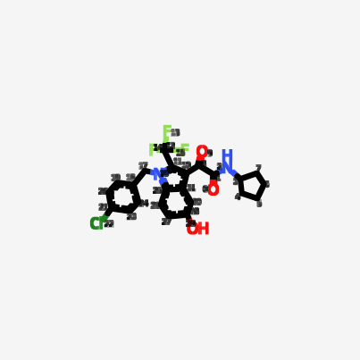 O=C(NC1CCCC1)C(=O)c1c(C(F)(F)F)n(Cc2ccc(Cl)cc2)c2ccc(O)cc12